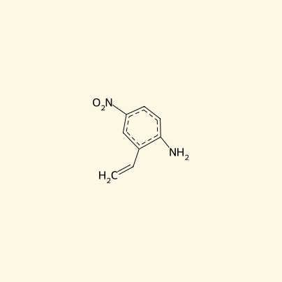 C=Cc1cc([N+](=O)[O-])ccc1N